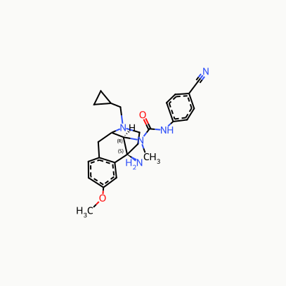 COc1ccc2c(c1)[C@@]1(N)CCN(CC3CC3)C(C2)[C@H]1N(C)C(=O)Nc1ccc(C#N)cc1